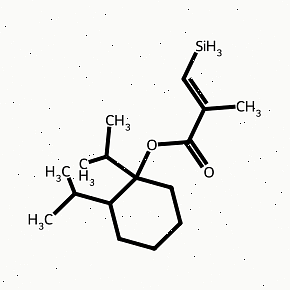 CC(=C[SiH3])C(=O)OC1(C(C)C)CCCCC1C(C)C